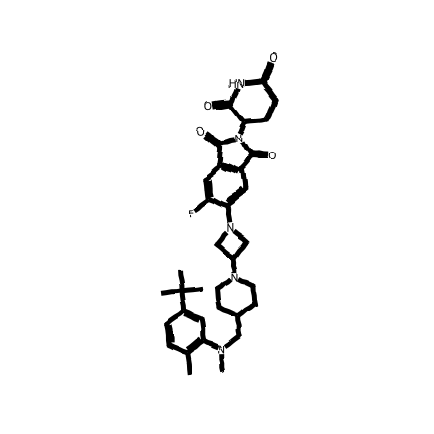 Cc1ccc(C(C)(C)C)cc1N(C)CC1CCN(C2CN(c3cc4c(cc3F)C(=O)N(C3CCC(=O)NC3=O)C4=O)C2)CC1